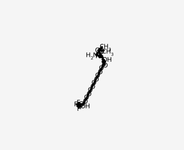 CCCN(OCC)C(=O)C1=Cc2sc(CCC3(O)CN(C(=O)CCOCCOCCOCCOCCOCCOCCOCCOCCOCCOCCC(O)Oc4c(F)c(F)cc(F)c4F)C3)cc2N=C(N)C1